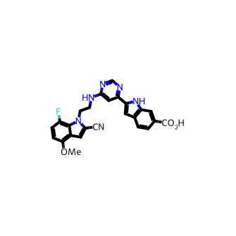 COc1ccc(F)c2c1cc(C#N)n2CCNc1cc(-c2cc3ccc(C(=O)O)cc3[nH]2)ncn1